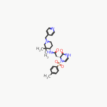 Cc1ccc(S(=O)(=O)N2C=CNC(=O)[C@H]2CC(=O)N[C@H]2CCN(Cc3ccncc3)CC2(C)C)cc1